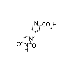 O=C(O)c1cc(Cn2ccc(=O)[nH]c2=O)ccn1